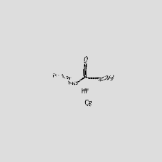 F.O=C(O)O.[Ce].[La].[Pr]